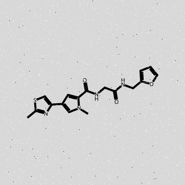 Cc1nc(-c2cc(C(=O)NCC(=O)NCc3ccco3)n(C)c2)cs1